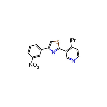 CC(C)c1ccncc1-c1nc(-c2cccc([N+](=O)[O-])c2)cs1